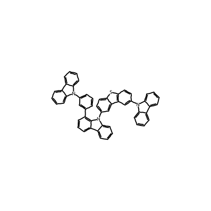 c1cc(-c2cccc3c4ccccc4n(-c4ccc5sc6ccc(-n7c8ccccc8c8ccccc87)cc6c5c4)c23)cc(-n2c3ccccc3c3ccccc32)c1